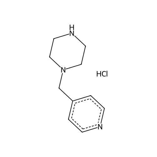 Cl.c1cc(CN2CCNCC2)ccn1